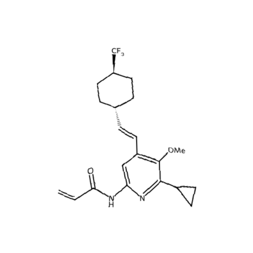 C=CC(=O)Nc1cc(/C=C/[C@H]2CC[C@H](C(F)(F)F)CC2)c(OC)c(C2CC2)n1